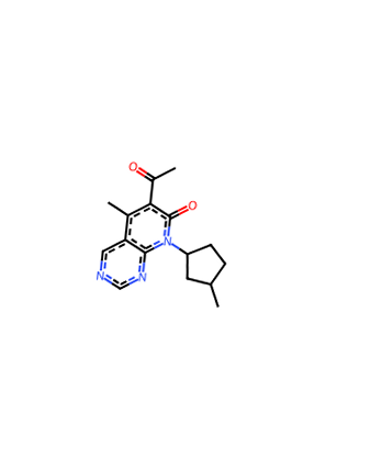 CC(=O)c1c(C)c2cncnc2n(C2CCC(C)C2)c1=O